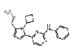 COCc1ncc(-c2ccnc(Nc3ccccc3)n2)n1C1CCC1